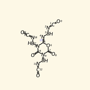 O=C=NB/N=c1\oc(=O)n(BN=C=O)c(=O)n1BN=C=O